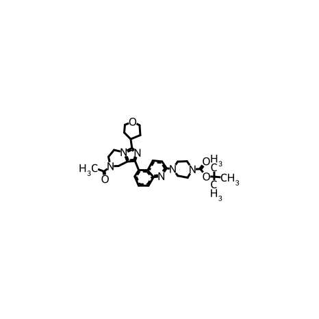 CC(=O)N1CCn2c(C3CCOCC3)nc(-c3cccc4nc(N5CCN(C(=O)OC(C)(C)C)CC5)ccc34)c2C1